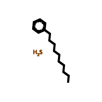 CCCCCCCCCCc1ccccc1.S